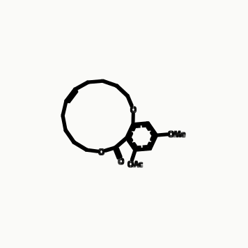 COc1cc2c(c(OC(C)=O)c1)C(=O)OCCCCC=CCCCCO2